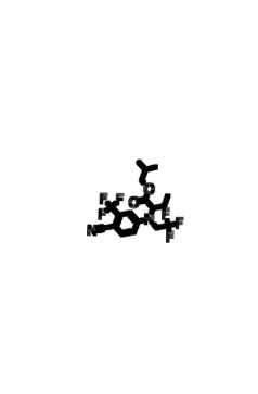 CCC(C(=O)OCC(C)C)N(CC(F)(F)F)c1ccc(C#N)c(C(F)(F)F)c1